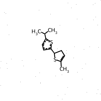 CC1=CCC(c2ccc(C(C)C)s2)S1